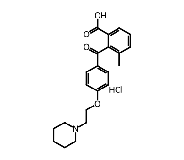 Cc1cccc(C(=O)O)c1C(=O)c1ccc(OCCN2CCCCC2)cc1.Cl